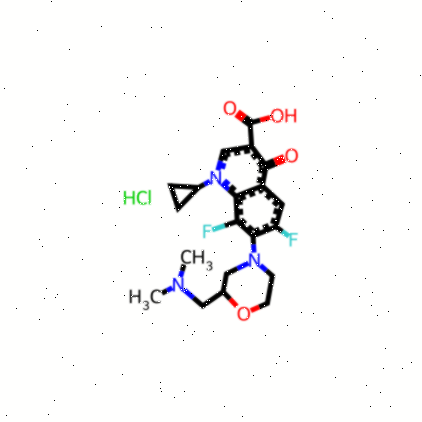 CN(C)CC1CN(c2c(F)cc3c(=O)c(C(=O)O)cn(C4CC4)c3c2F)CCO1.Cl